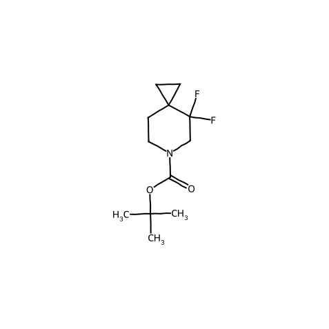 CC(C)(C)OC(=O)N1CCC2(CC2)C(F)(F)C1